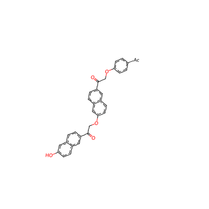 CC(=O)c1ccc(OCC(=O)c2ccc3cc(OCC(=O)c4ccc5cc(O)ccc5c4)ccc3c2)cc1